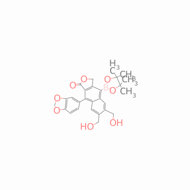 CC1(C)OB(c2c3c(c(-c4ccc5c(c4)OCO5)c4cc(CO)c(CO)cc24)C(=O)OC3)OC1(C)C